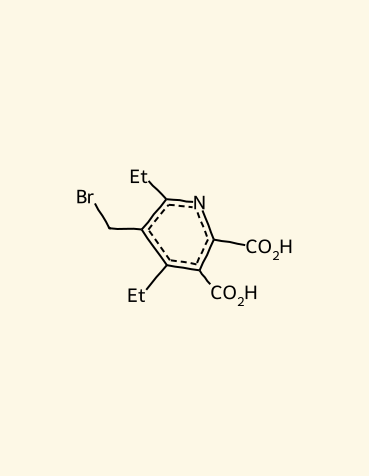 CCc1nc(C(=O)O)c(C(=O)O)c(CC)c1CBr